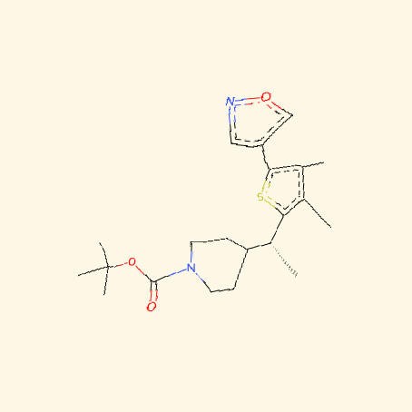 Cc1c(-c2cnoc2)sc([C@H](C)C2CCN(C(=O)OC(C)(C)C)CC2)c1C